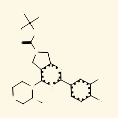 C[C@H]1COCCN1c1nc(-c2ccc(N)c(F)c2)nc2c1CN(C(=O)OC(C)(C)C)C2